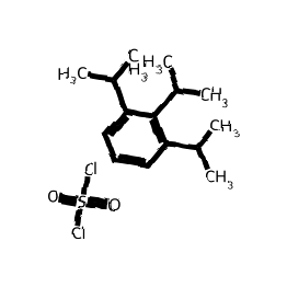 CC(C)c1cccc(C(C)C)c1C(C)C.O=S(=O)(Cl)Cl